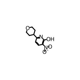 O=[N+]([O-])c1ccc(C2CCOCC2)nc1O